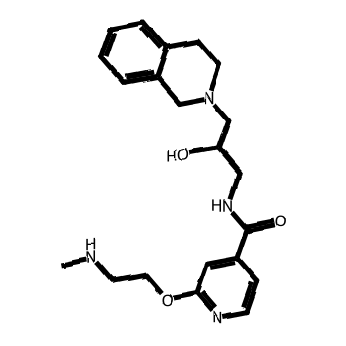 CNCCOc1cc(C(=O)NCC(O)CN2CCc3ccccc3C2)ccn1